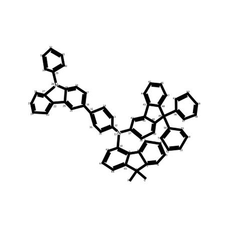 CC1(C)c2ccccc2-c2c(N(c3ccc(-c4ccc5c(c4)c4ccccc4n5-c4ccccc4)cc3)c3ccc4c(c3)-c3ccccc3C4(c3ccccc3)c3ccccc3)cccc21